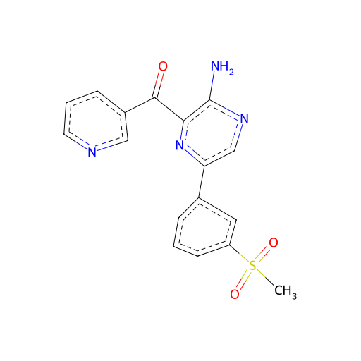 CS(=O)(=O)c1cccc(-c2cnc(N)c(C(=O)c3cccnc3)n2)c1